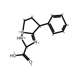 O=C(O)C1N=C2C(c3ccccc3)CCN2N1